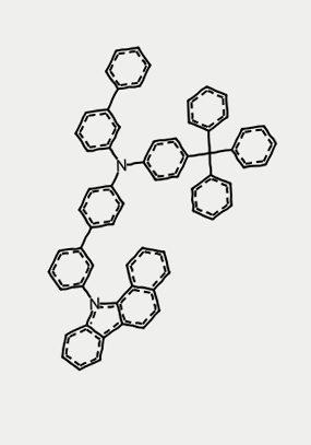 c1ccc(-c2cccc(N(c3ccc(-c4cccc(-n5c6ccccc6c6ccc7ccccc7c65)c4)cc3)c3ccc(C(c4ccccc4)(c4ccccc4)c4ccccc4)cc3)c2)cc1